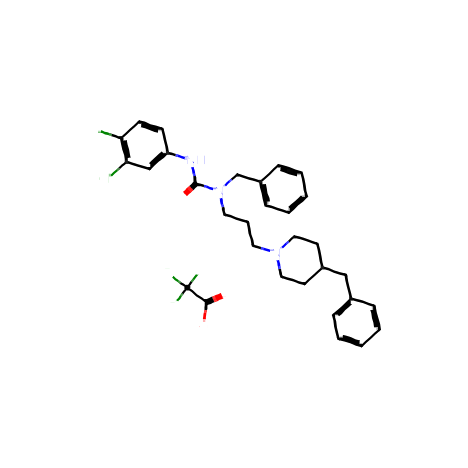 O=C(Nc1ccc(Cl)c(Cl)c1)N(CCCN1CCC(Cc2ccccc2)CC1)Cc1ccccc1.O=C(O)C(F)(F)F